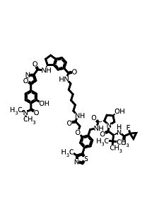 Cc1ncsc1-c1ccc(CNC(=O)[C@@H]2C[C@@H](O)CN2C(=O)[C@@H](NC(=O)C2(F)CC2)C(C)(C)C)c(OCC(=O)NCCCCCCNC(=O)c2ccc3c(c2)[C@H](NC(=O)c2cc(-c4ccc(C(=O)N(C)C)c(O)c4)on2)CC3)c1